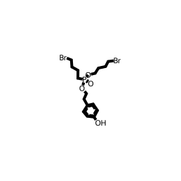 O=P(CCCCBr)(OCCCCBr)OCCc1ccc(O)cc1